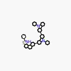 C1=CCC(C2Nc3c(ccc4ccc5cc(-c6ccc7c(c6)c6cc(-c8ccc9c(c8)c8ccccc8n9-c8ccccc8)ccc6n7-c6ccccc6)ccc5c34)S2)C=C1